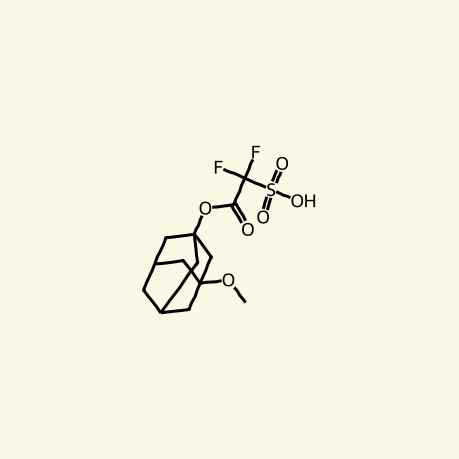 COC12CC3CC(C1)CC(OC(=O)C(F)(F)S(=O)(=O)O)(C3)C2